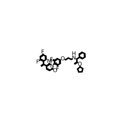 C=C(c1ccc(F)cc1F)c1ccc(=O)n(-c2c(F)cc(OCCCN[C@@H](C(=C)OC3CCCC3)c3ccccc3)cc2F)c1N